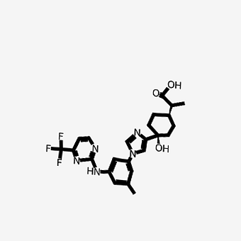 Cc1cc(Nc2nccc(C(F)(F)F)n2)cc(-n2cnc([C@]3(O)CC[C@@H](C(C)C(=O)O)CC3)c2)c1